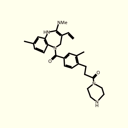 C=CC1=C(NC)Nc2cc(C)ccc2N(C(=O)c2ccc(CCC(=O)N3CCNCC3)c(C)c2)C1